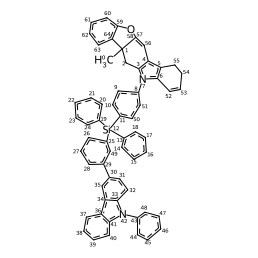 CC12Cc3c(c4c(n3-c3ccc([Si](c5ccccc5)(c5ccccc5)c5cccc(-c6ccc7c(c6)c6ccccc6n7-c6ccccc6)c5)cc3)C=CCC4)C=C1Oc1ccccc12